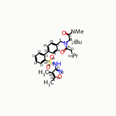 CCC(C)[C@@H](C(=O)NC)N(Cc1ccc(-c2ccccc2S(=O)(=O)Nc2noc(C)c2C)cc1)C(=O)CC(C)C